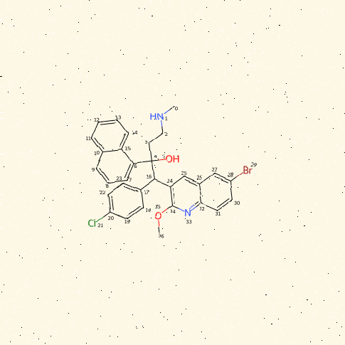 CNCCC(O)(c1cccc2ccccc12)C(c1ccc(Cl)cc1)c1cc2cc(Br)ccc2nc1OC